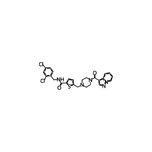 O=C(NCc1ccc(Cl)cc1Cl)c1ccc(CN2CCN(C(=O)c3cnn4ccccc34)CC2)s1